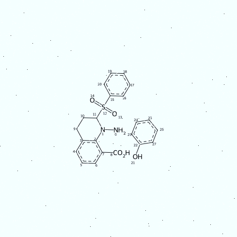 NN1c2c(cccc2C(=O)O)CCC1S(=O)(=O)c1ccccc1.Oc1ccccc1